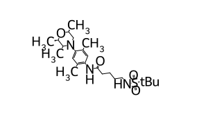 Cc1cc(N2C[C@H](C)O[C@H](C)C2C)c(C)cc1NC(=O)CCCCNS(=O)(=O)C(C)(C)C